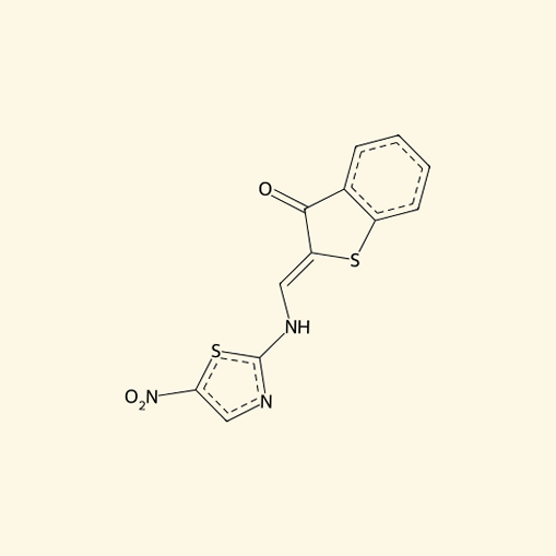 O=C1C(=CNc2ncc([N+](=O)[O-])s2)Sc2ccccc21